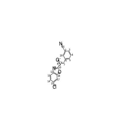 N#Cc1cccc(C[S+]([O-])c2nc3ccc(Cl)cc3o2)c1